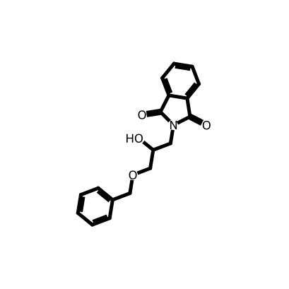 O=C1c2ccccc2C(=O)N1CC(O)COCc1ccccc1